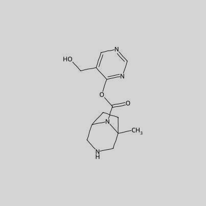 CC12CCC(CNC1)N2C(=O)Oc1ncncc1CO